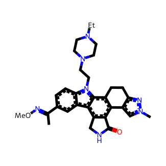 CCN1CCN(CCn2c3ccc(/C(C)=N/OC)cc3c3c4c(c5c(c32)CCc2nn(C)cc2-5)C(=O)NC4)CC1